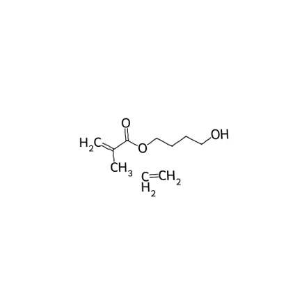 C=C.C=C(C)C(=O)OCCCCO